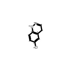 Clc1ccc2c(c1)CC=NO2